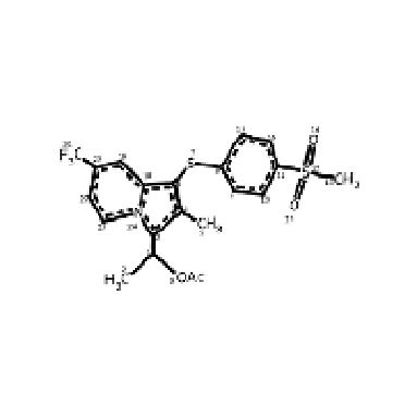 CC(=O)OC(C)c1c(C)c(Sc2ccc(S(C)(=O)=O)cc2)c2cc(C(F)(F)F)ccn12